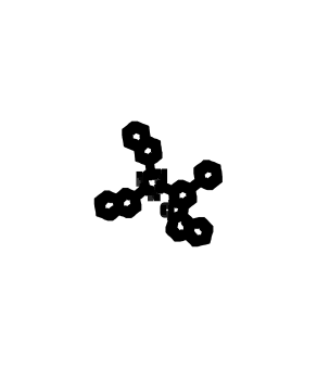 c1ccc(-c2cc(-c3nc(-c4ccc5ccccc5c4)nc(-c4ccc5ccccc5c4)n3)c3oc4ccc5ccccc5c4c3c2)cc1